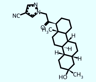 C[C@@]1(O)CC[C@H]2[C@H](CC[C@H]3C4CCC[C@H](C(=O)Cn5cc(C#N)cn5)[C@@]4(C)CC[C@H]23)C1